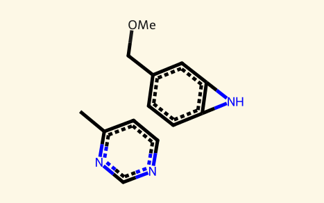 COCc1ccc2c(c1)N2.Cc1ccncn1